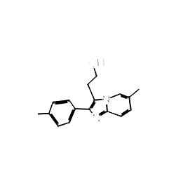 Cc1ccc(-c2nc3ccc(C)cn3c2CCO)cc1